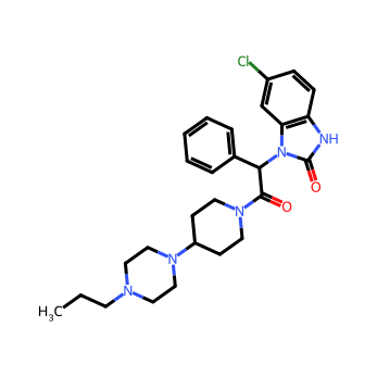 CCCN1CCN(C2CCN(C(=O)C(c3ccccc3)n3c(=O)[nH]c4ccc(Cl)cc43)CC2)CC1